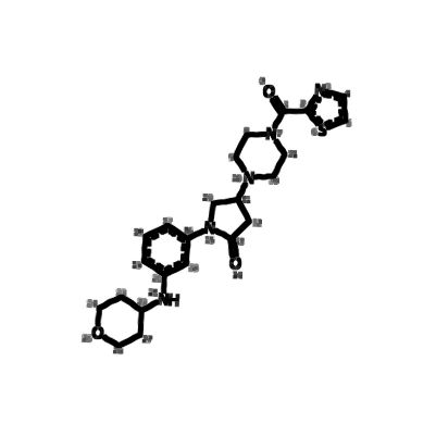 O=C(c1nccs1)N1CCN(C2CC(=O)N(c3cccc(NC4CCOCC4)c3)C2)CC1